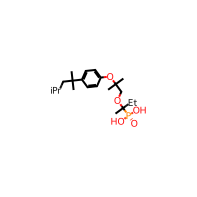 CCC(C)(OCC(C)(C)Oc1ccc(C(C)(C)CC(C)C)cc1)P(=O)(O)O